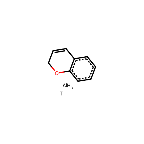 C1=Cc2ccccc2OC1.[AlH3].[Ti]